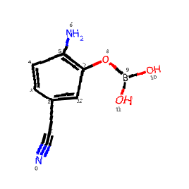 N#Cc1ccc(N)c(OB(O)O)c1